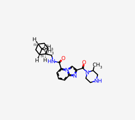 CC1CNCCN1C(=O)c1cn2c(C(=O)NC[C@@H]3CC[C@H]4C[C@@H]3C4(C)C)cccc2n1